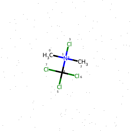 C[N+](C)(Cl)C(Cl)(Cl)Cl